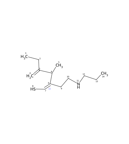 C=C(CC)C(C)/C(=C\S)CCNCCC